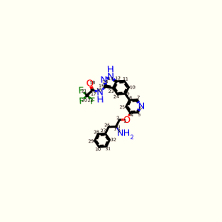 N[C@H](COc1cncc(-c2ccc3[nH]nc(NC(=O)C(F)(F)F)c3c2)c1)Cc1ccccc1